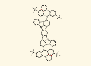 C[Si](C)(C)c1ccc(N(c2cc([Si](C)(C)C)ccc2-c2ccccc2)c2ccc3c4cc5c(cc4n4c6ccccc6c2c34)c2ccc(N(c3ccc([Si](C)(C)C)cc3)c3cc([Si](C)(C)C)ccc3-c3ccccc3)c3c4ccccc4n5c23)cc1